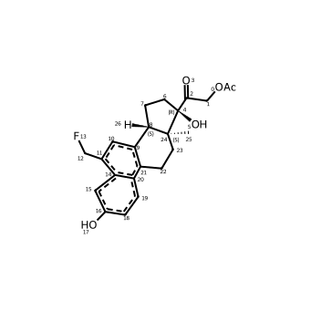 CC(=O)OCC(=O)[C@@]1(O)CC[C@H]2c3cc(CF)c4cc(O)ccc4c3CC[C@@]21C